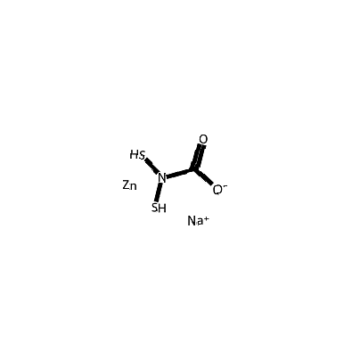 O=C([O-])N(S)S.[Na+].[Zn]